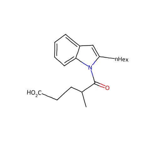 CCCCCCc1cc2ccccc2n1C(=O)C(C)CCC(=O)O